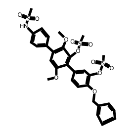 COc1cc(-c2ccc(NS(C)(=O)=O)cc2)c(OC)c(OS(C)(=O)=O)c1-c1ccc(OCc2ccccc2)c(OS(C)(=O)=O)c1